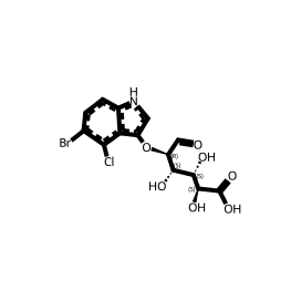 O=C[C@H](Oc1c[nH]c2ccc(Br)c(Cl)c12)[C@@H](O)[C@H](O)[C@H](O)C(=O)O